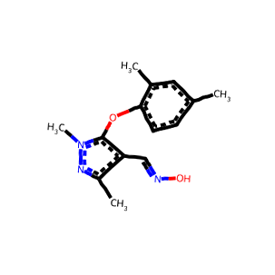 Cc1ccc(Oc2c(C=NO)c(C)nn2C)c(C)c1